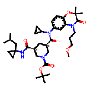 COCCCN1C(=O)C(C)(C)Oc2ccc(N(C(=O)[C@@H]3C[C@H](C(=O)NC4(CC(C)C)CC4)CN(C(=O)OC(C)(C)C)C3)C3CC3)cc21